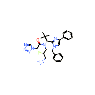 CC(C)(C)[C@H](c1nc(-c2ccccc2)cn1Cc1ccccc1)N(C[C@H](F)CN)C(=O)Cn1cnnn1